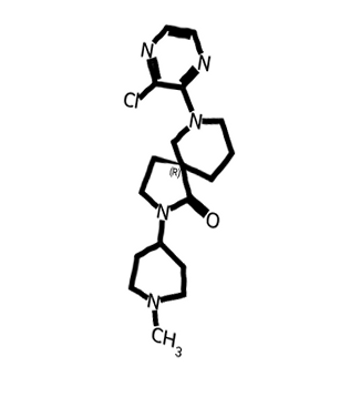 CN1CCC(N2CC[C@@]3(CCCN(c4nccnc4Cl)C3)C2=O)CC1